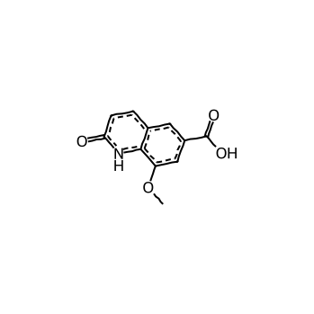 COc1cc(C(=O)O)cc2ccc(=O)[nH]c12